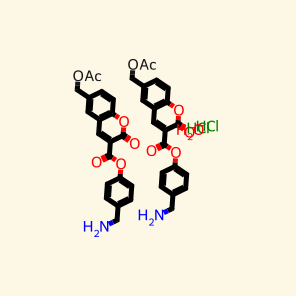 CC(=O)OCc1ccc2oc(=O)c(C(=O)Oc3ccc(CN)cc3)cc2c1.CC(=O)OCc1ccc2oc(=O)c(C(=O)Oc3ccc(CN)cc3)cc2c1.Cl.Cl.O